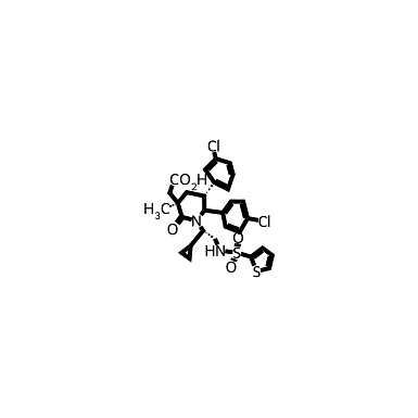 C[C@]1(CC(=O)O)C[C@H](c2cccc(Cl)c2)C(c2ccc(Cl)cc2)N([C@H](CNS(=O)(=O)c2cccs2)C2CC2)C1=O